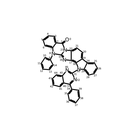 O=c1c2ccccc2n(-c2ccccc2)c2nc3c4c(ccc3n12)c1ccccc1n4-c1nc(-c2ccccc2)c2ccccc2n1